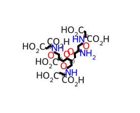 N[C@H](CC(=O)N[C@@H](CC(=O)O)C(=O)O)C(=O)C[C@H](CC(=O)N[C@@H](CC(=O)O)C(=O)O)C(=O)C[C@H](CC(=O)N[C@@H](CC(=O)O)C(=O)O)C(=O)O